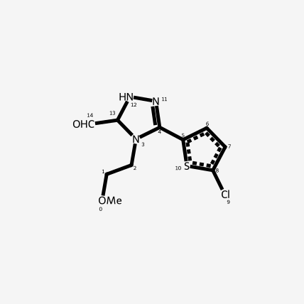 COCCN1C(c2ccc(Cl)s2)=NNC1C=O